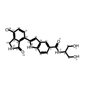 O=C(NC(CO)CO)c1ccc2[nH]c(-c3ccc(Cl)c4c3C(=O)NC4)cc2c1